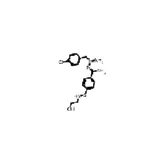 N/C(=N\N(N)Cc1ccc(Cl)cc1)c1ccc(SNCCO)cc1